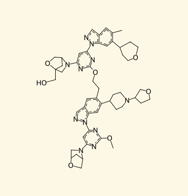 COc1nc(N2CC3CC2CO3)cc(-n2ncc3cc(CCOc4nc(N5CC6(CO)CC5CO6)cc(-n5ncc6cc(C)c(C7CCOCC7)cc65)n4)c(C4CCN(C5CCOC5)CC4)cc32)n1